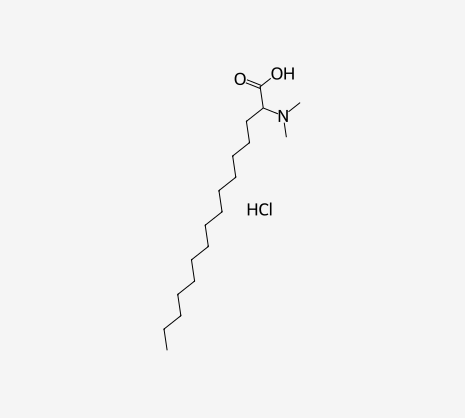 CCCCCCCCCCCCCCC(C(=O)O)N(C)C.Cl